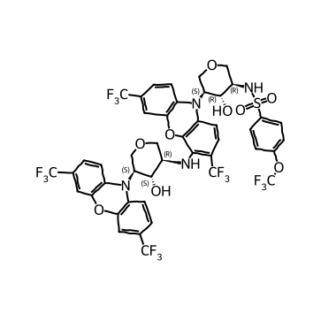 O=S(=O)(N[C@@H]1COC[C@H](N2c3ccc(C(F)(F)F)cc3Oc3c2ccc(C(F)(F)F)c3N[C@@H]2COC[C@H](N3c4ccc(C(F)(F)F)cc4Oc4cc(C(F)(F)F)ccc43)[C@H]2O)[C@H]1O)c1ccc(OC(F)(F)F)cc1